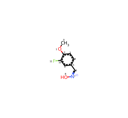 COc1ccc(/C=N\O)cc1F